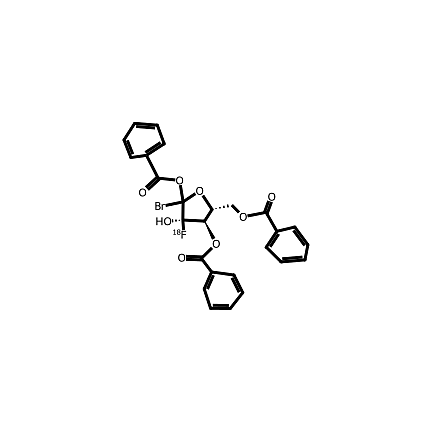 O=C(OC[C@H]1OC(Br)(OC(=O)c2ccccc2)[C@](O)([18F])[C@@H]1OC(=O)c1ccccc1)c1ccccc1